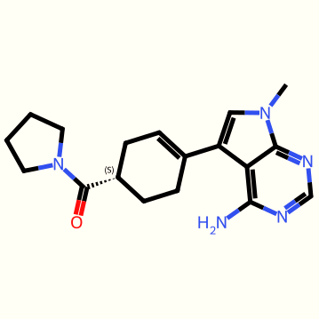 Cn1cc(C2=CC[C@@H](C(=O)N3CCCC3)CC2)c2c(N)ncnc21